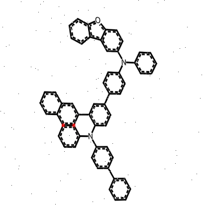 c1ccc(-c2ccc(N(c3ccccc3)c3ccc(-c4ccc(N(c5ccccc5)c5ccc6oc7ccccc7c6c5)cc4)cc3-c3ccc4ccccc4c3)cc2)cc1